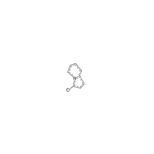 Clc1c[c]c2ccccn12